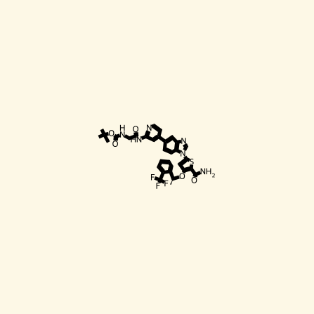 C[C@@H](Oc1cc(-n2cnc3cc(-c4ccnc(NC(=O)CNC(=O)OC(C)(C)C)c4)ccc32)sc1C(N)=O)c1ccccc1C(F)(F)F